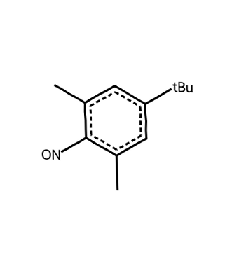 Cc1cc(C(C)(C)C)cc(C)c1N=O